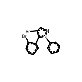 Brc1ccccc1-c1c(Br)cnn1-c1ccccc1